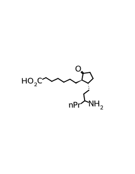 CCCC(N)CC[C@H]1CCC(=O)[C@@H]1CCCCCCC(=O)O